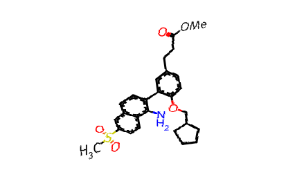 COC(=O)CCc1ccc(OCC2CCCC2)c(-c2ccc3cc(S(C)(=O)=O)ccc3c2N)c1